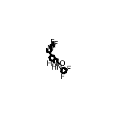 O=C(Nc1cc(F)cc(F)c1)c1cc2cc(C3CCN(CC(F)(F)F)C3)ccc2[nH]1